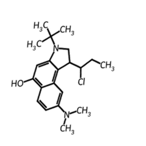 CCC(Cl)C1CN(C(C)(C)C)c2cc(O)c3ccc(N(C)C)cc3c21